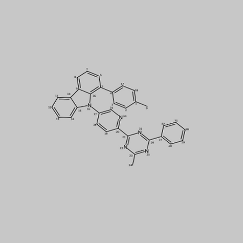 Cc1ccc(-c2cccc3c4ccccc4n(-c4ccc(-c5nc(C)nc(-c6ccccc6)n5)nc4)c23)cc1